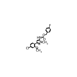 COc1cc(Cl)ccc1-c1cc(NC(=O)OCc2ccc(F)cc2)n(C)n1